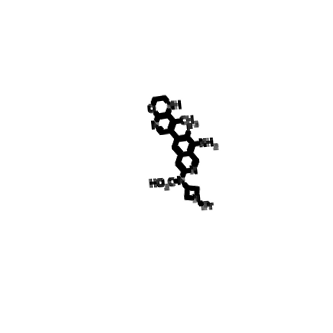 Cc1c(-c2cc3cc(N(C(=O)O)C4CN(C(C)C)C4)ncc3c(N)c2F)cnc2c1NCCO2